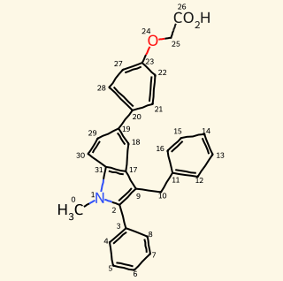 Cn1c(-c2ccccc2)c(Cc2ccccc2)c2cc(-c3ccc(OCC(=O)O)cc3)ccc21